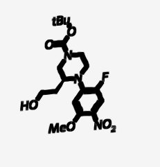 COc1cc(N2CCN(C(=O)OC(C)(C)C)C[C@@H]2CCO)c(F)cc1[N+](=O)[O-]